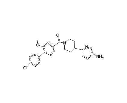 COc1cc(C(=O)N2CCC(c3ccc(N)nn3)CC2)ncc1-c1ccc(Cl)cc1